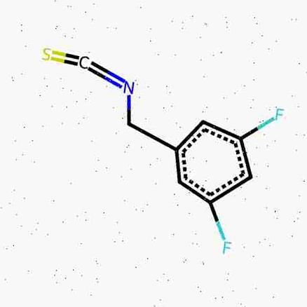 Fc1cc(F)cc(CN=C=S)c1